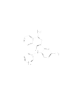 Brc1ccc2c(c1)c1cc(Br)c3ccccc3c1n2-c1cccnc1